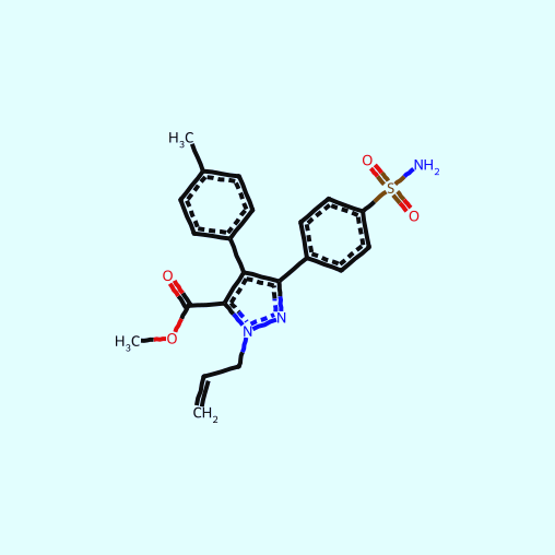 C=CCn1nc(-c2ccc(S(N)(=O)=O)cc2)c(-c2ccc(C)cc2)c1C(=O)OC